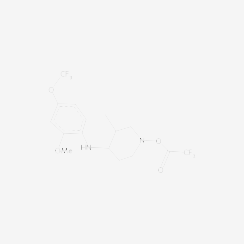 COc1cc(OC(F)(F)F)ccc1NC1CCN(OC(=O)C(F)(F)F)CC1C